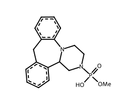 COP(=O)(O)N1CCN2c3ccccc3Cc3ccccc3C2C1